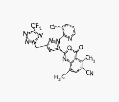 Cc1cc(C#N)c(C)c2c(=O)oc(-c3cc(Cn4nnc(C(F)(F)F)n4)nn3-c3ncccc3Cl)nc12